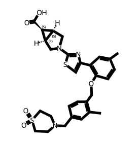 Cc1ccc(OCc2ccc(CN3CCS(=O)(=O)CC3)cc2C)c(-c2csc(N3C[C@@H]4[C@H](C3)[C@@H]4C(=O)O)n2)c1